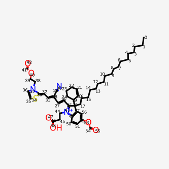 CCCCCCCCCCCCCCCCCCC1(C2C=CCCC2)C(/C=C/C(C#N)=C/C=C2\SC=CN2CCOC=O)=[N+](CCC(=O)O)c2ccc(OC=O)cc21